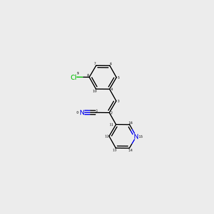 N#CC(=Cc1cccc(Cl)c1)c1cccnc1